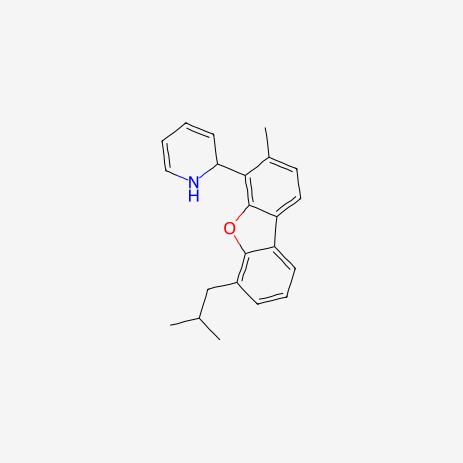 Cc1ccc2c(oc3c(CC(C)C)cccc32)c1C1C=CC=CN1